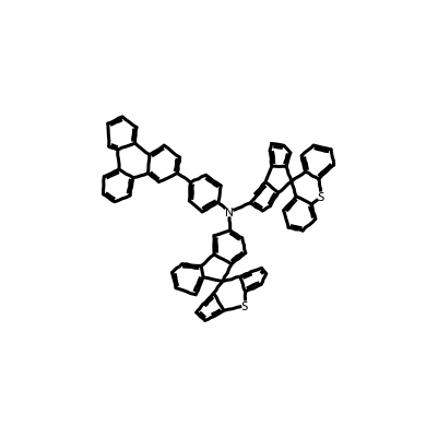 c1ccc2c(c1)Sc1ccccc1C21c2ccccc2-c2cc(N(c3ccc(-c4ccc5c6ccccc6c6ccccc6c5c4)cc3)c3ccc4c(c3)-c3ccccc3C43c4ccccc4Sc4ccccc43)ccc21